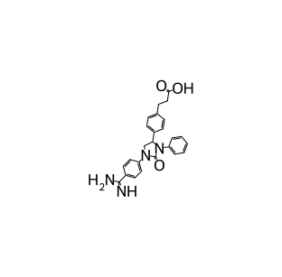 N=C(N)c1ccc(N2CC(c3ccc(CCC(=O)O)cc3)N(c3ccccc3)C2=O)cc1